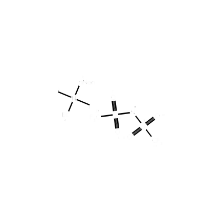 CCCCCCCCC[N+](C)(C)CC.O=S(=O)([N-]S(=O)(=O)C(F)(F)F)C(F)(F)F